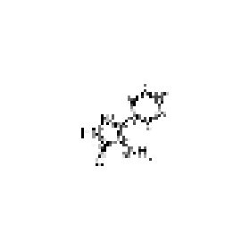 Nn1c(-c2ccncc2)n[nH]c1=O